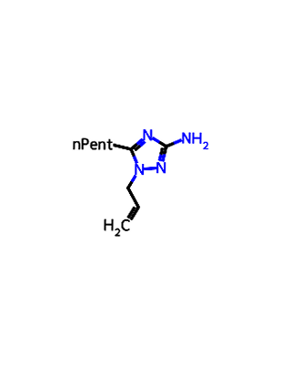 C=CCn1nc(N)nc1CCCCC